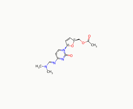 CC(=O)OC[C@@H]1C=C[C@H](n2ccc(N=CN(C)C)nc2=O)O1